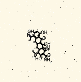 C/C(=N/O)c1ccc(O)c2c1CC1CC3C(N(C)C)C(O)=C(C(N)=O)C(=O)C3(O)C(O)=C1C2=O